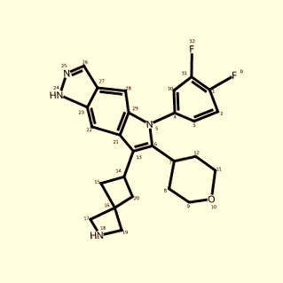 Fc1ccc(-n2c(C3CCOCC3)c(C3CC4(CNC4)C3)c3cc4[nH]ncc4cc32)cc1F